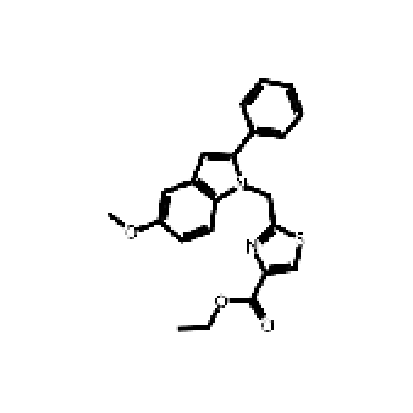 CCOC(=O)c1csc(Cn2c(-c3ccccc3)cc3cc(OC)ccc32)n1